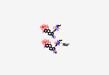 CO/N=C1\C[C@@H](CCC(=O)[N-]c2ncc(C)s2)C2C3CCc4cc(OP(=O)(O)O)c(I)cc4C3CC[C@]12C.CO/N=C1\C[C@@H](CCC(=O)[N-]c2ncc(C)s2)C2C3CCc4cc(OP(=O)(O)O)c(I)cc4C3CC[C@]12C.[Na+].[Na+]